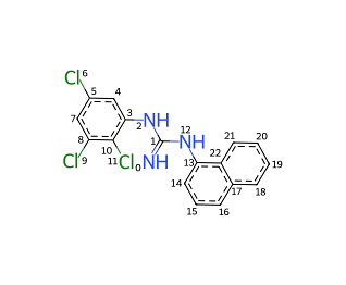 N=C(Nc1cc(Cl)cc(Cl)c1Cl)Nc1cccc2ccccc12